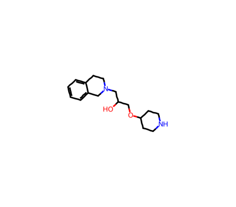 OC(COC1CCNCC1)CN1CCc2ccccc2C1